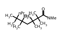 CCCC(C)(C)C(C)(C)CC(C)(C)C(C)(C)C(=O)NC